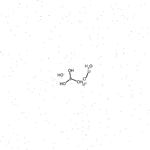 O.OB(O)O.[Li+].[Li][Cl].[OH-]